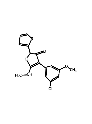 CNC1=C(c2cc(Cl)cc(OC)c2)C(=O)C(c2cccs2)O1